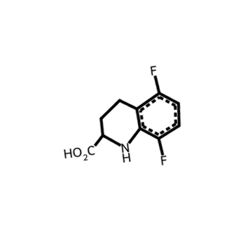 O=C(O)C1CCc2c(F)ccc(F)c2N1